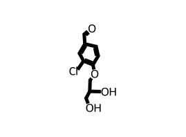 O=Cc1ccc(OCC(O)CO)c(Cl)c1